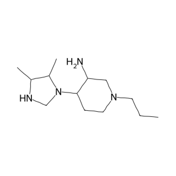 CCCN1CCC(N2CNC(C)C2C)C(N)C1